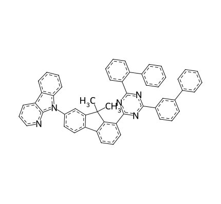 CC1(C)c2cc(-n3c4ccccc4c4cccnc43)ccc2-c2cccc(-c3nc(-c4cccc(-c5ccccc5)c4)nc(-c4ccccc4-c4ccccc4)n3)c21